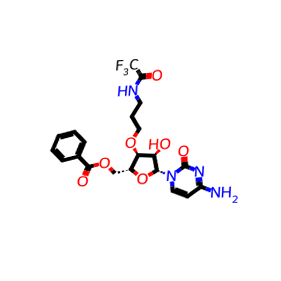 Nc1ccn([C@@H]2O[C@H](COC(=O)c3ccccc3)[C@@H](OCCCNC(=O)C(F)(F)F)[C@H]2O)c(=O)n1